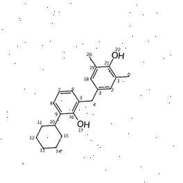 Cc1cc(Cc2cccc(C3CCCCC3)c2O)cc(C)c1O